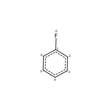 Fc1c[c]c[c]c1